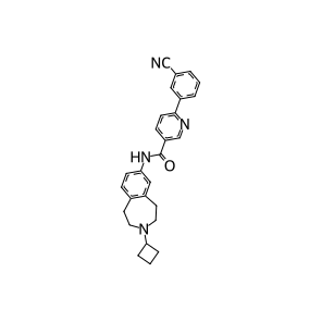 N#Cc1cccc(-c2ccc(C(=O)Nc3ccc4c(c3)CCN(C3CCC3)CC4)cn2)c1